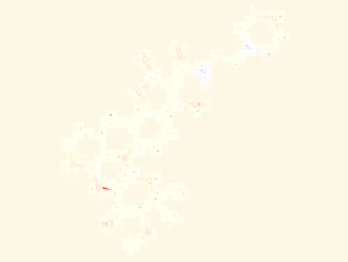 CO[C@@H]1[C@H](O)[C@@H](OC2CCCCO2)[C@H](Oc2ccc3c(O)c(C(=O)NCCN4CCOCC4)c(=O)oc3c2C)OC1(C)C